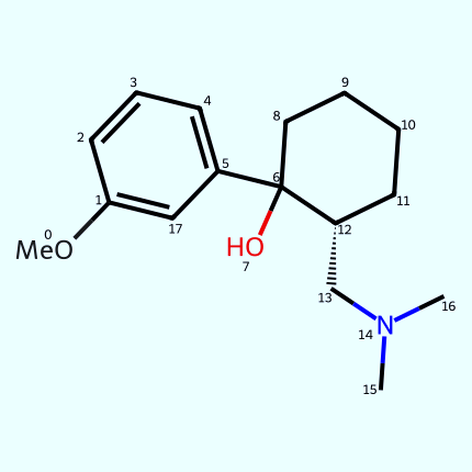 COc1cccc(C2(O)CCCC[C@@H]2CN(C)C)c1